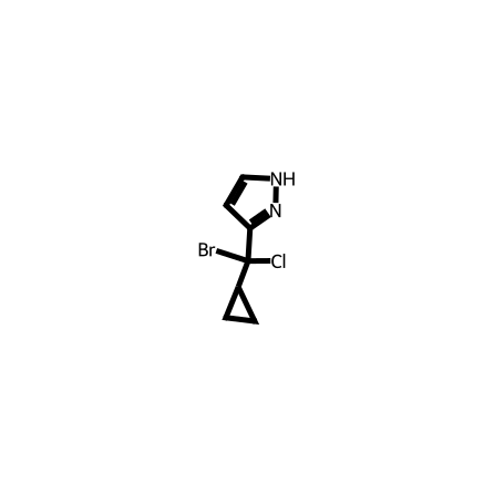 ClC(Br)(c1cc[nH]n1)C1CC1